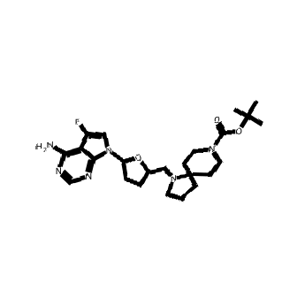 CC(C)(C)OC(=O)N1CCC2(CCCN2CC2CCC(n3cc(F)c4c(N)ncnc43)O2)CC1